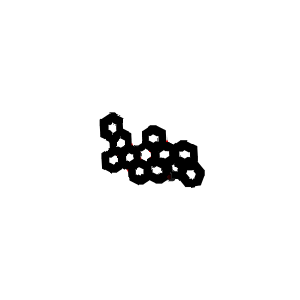 c1ccc(-c2ccccc2-c2c(-c3ccccc3)cccc2N(c2ccccc2-c2cccc3c2oc2ccccc23)c2cc3ccccc3c3ccccc23)cc1